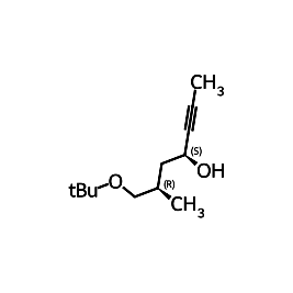 CC#C[C@@H](O)C[C@@H](C)COC(C)(C)C